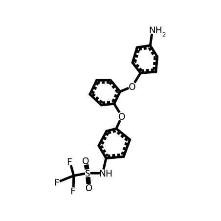 Nc1ccc(Oc2ccccc2Oc2ccc(NS(=O)(=O)C(F)(F)F)cc2)cc1